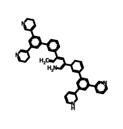 C=C/C(=C\C(=C/N)C1C=C(c2cc(C3=CC=CNC3)cc(-c3cccnc3)c2)C=CC1)c1cccc(-c2cc(C3=CCCN=C3)cc(C3=CN=CCC3)c2)c1